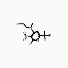 CN(CCF)c1cc(C(F)(F)F)nc(Cl)c1[N+](=O)[O-]